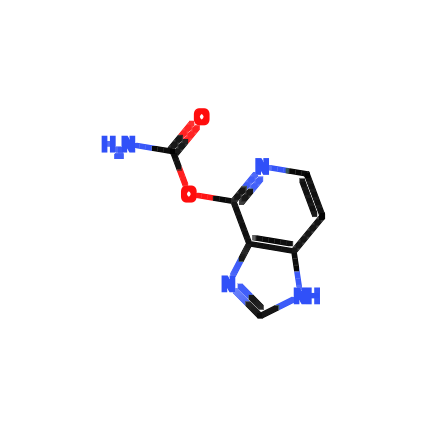 NC(=O)Oc1nccc2[nH]cnc12